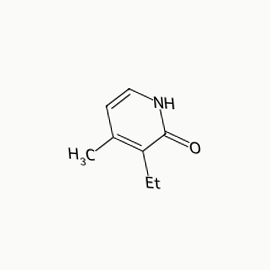 CCc1c(C)cc[nH]c1=O